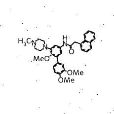 COc1ccc(-c2cc(NC(=O)Cc3cccc4ccccc34)cc(N3CCN(C)CC3)c2OC)cc1OC